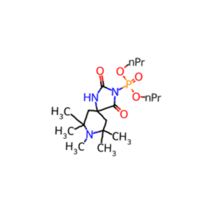 CCCOP(=O)(OCCC)N1C(=O)NC2(CC(C)(C)N(C)C(C)(C)C2)C1=O